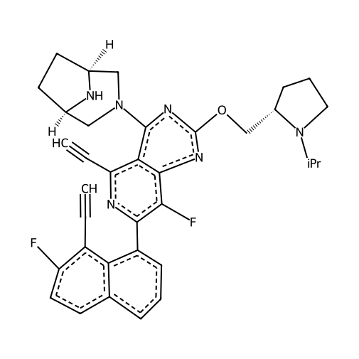 C#Cc1c(F)ccc2cccc(-c3nc(C#C)c4c(N5C[C@H]6CC[C@@H](C5)N6)nc(OC[C@@H]5CCCN5C(C)C)nc4c3F)c12